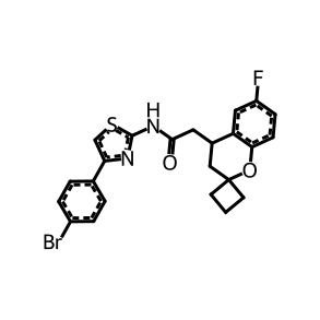 O=C(CC1CC2(CCC2)Oc2ccc(F)cc21)Nc1nc(-c2ccc(Br)cc2)cs1